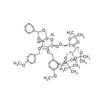 COc1ccc(CO[C@@H]2[C@H](OCc3ccc(OC)cc3)[C@H](OOC[C@H]3OC(C)(C)O[C@H]3[C@@H]3OC(C)(C)O[C@@H]3CO[Si](C)(C)C(C)(C)C)O[C@@H]3COC(c4ccccc4)O[C@@H]23)cc1